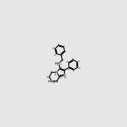 c1ccc(CNc2c(-c3ccccc3)nc3n2CCNC3)cc1